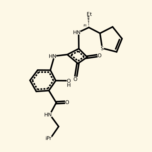 CC[C@@H](Nc1c(Nc2cccc(C(=O)NCC(C)C)c2O)c(=O)c1=O)C1CC=CS1